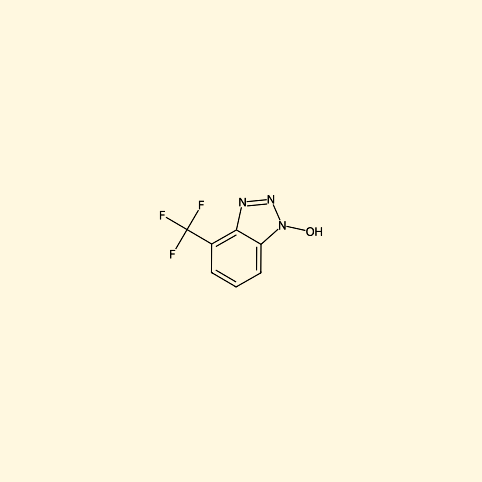 On1nnc2c(C(F)(F)F)cccc21